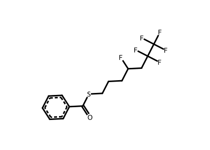 O=C(SCCCC(F)CC(F)(F)C(F)(F)F)c1ccccc1